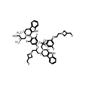 C[C@@H](CO)CN1[C@H](c2c(F)cc(OC(C[C@@H]3Cc4c([nH]c5ccccc45)[C@@H](c4c(F)cc(OCCN5CC(CF)C5)cc4F)N3CC(C)(C)O)CN3CC(CF)C3)cc2F)c2[nH]c3ccccc3c2C[C@H]1C